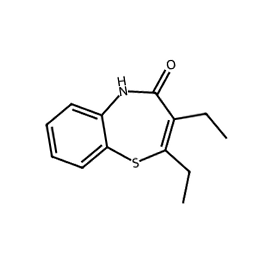 CCC1=C(CC)C(=O)Nc2ccccc2S1